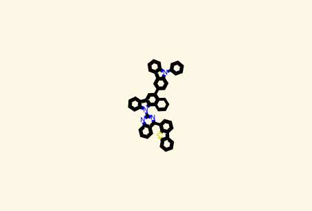 C1=Cc2c(c(-c3ccc4c(c3)c3ccccc3n4-c3ccccc3)cc3c4ccccc4n(-c4nc(-c5cccc6c5sc5ccccc56)c5ccccc5n4)c23)CC1